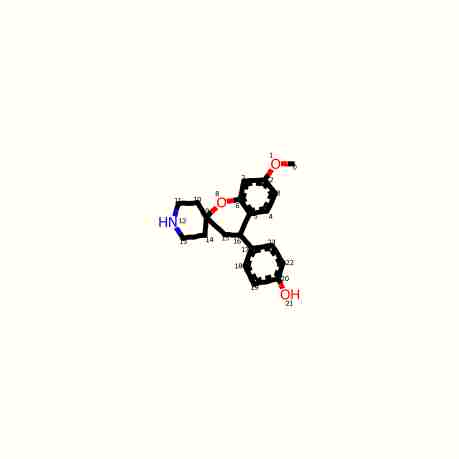 COc1ccc2c(c1)OC1(CCNCC1)CC2c1ccc(O)cc1